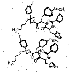 CCCCOC1(c2ccc(F)cc2)CN(C(=O)[C@H](Cc2ccc(OC)cc2)NC(=O)[C@H](Cc2c[nH]cn2)NC(=O)c2ccccc2)C1.CCCCOC1(c2cccc(F)c2)CN(C(=O)[C@H](Cc2ccc(OC)cc2)NC(=O)[C@H](Cc2c[nH]cn2)NC(=O)c2ccccc2)C1